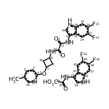 Cc1ccc(OC2CC(NC(=O)C(=O)Nc3c[nH]c4cc(F)c(F)cc34)C2)nc1.O=C(O)C(=O)Nc1c[nH]c2cc(F)c(F)cc12